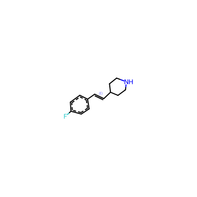 Fc1ccc(/C=C/C2CCNCC2)cc1